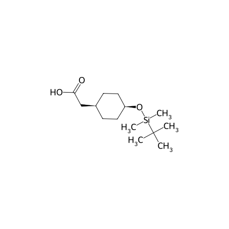 CC(C)(C)[Si](C)(C)O[C@H]1CC[C@@H](CC(=O)O)CC1